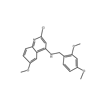 COc1ccc(CNc2cc(Cl)nc3ccc(OC)cc23)c(OC)c1